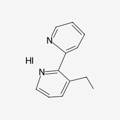 CCc1cccnc1-c1ccccn1.I